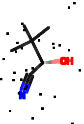 CC(C)(C)[C@H](O)C#N